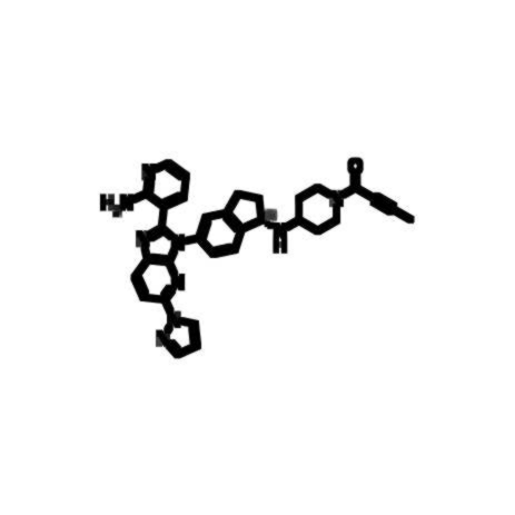 CC#CC(=O)N1CCC(N[C@H]2CCc3cc(-n4c(-c5cccnc5N)nc5ccc(-n6cccn6)nc54)ccc32)CC1